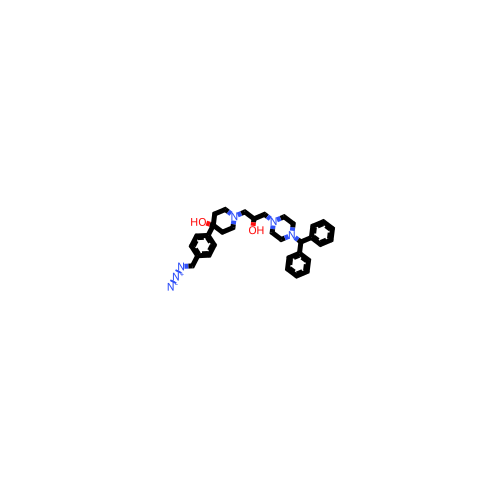 [N-]=[N+]=NCc1ccc(C2(O)CCN(CC(O)CN3CCN(C(c4ccccc4)c4ccccc4)CC3)CC2)cc1